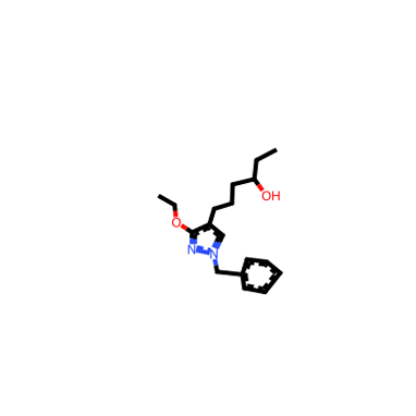 CCOc1nn(Cc2ccccc2)cc1CCCC(O)CC